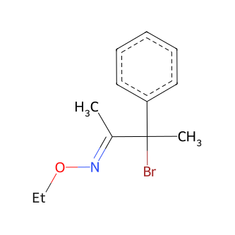 CCO/N=C(\C)C(C)(Br)c1ccccc1